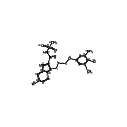 Cc1cc(OCCCc2c(C(=O)NS(C)(=O)=O)[nH]c3cc(Br)ccc23)cc(C)c1Cl